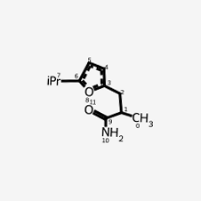 CC(Cc1ccc(C(C)C)o1)C(N)=O